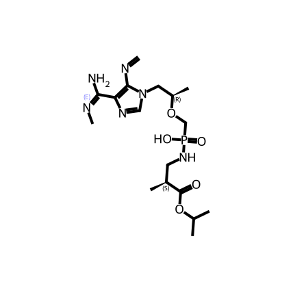 C=Nc1c(/C(N)=N\C)ncn1C[C@@H](C)OCP(=O)(O)NC[C@H](C)C(=O)OC(C)C